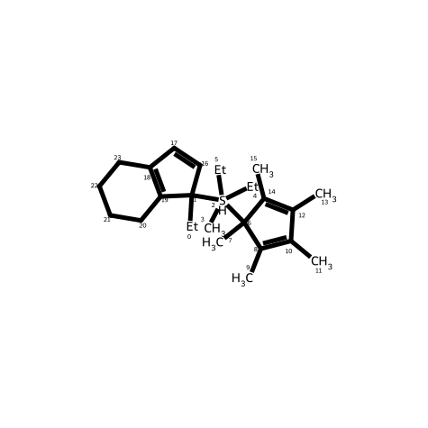 CCC1([SH](C)(CC)(CC)C2(C)C(C)=C(C)C(C)=C2C)C=CC2=C1CCCC2